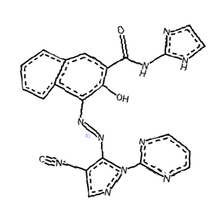 [C-]#[N+]c1cnn(-c2ncccn2)c1/N=N/c1c(O)c(C(=O)Nc2ncc[nH]2)cc2ccccc12